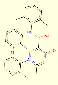 Cc1ccccc1-n1c(C)cc(=O)c(C(=O)Nc2c(C)cccc2C)c1-c1ccccc1Cl